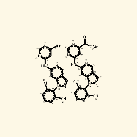 CC(C)c1cc(Nc2cc3c(cn2)cnn3-c2c(Cl)cccc2C#N)ncn1.COC(=O)c1cc(Nc2cc3c(cn2)cnn3-c2c(Cl)cccc2C#N)ncn1